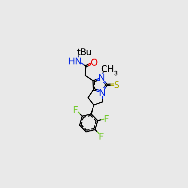 Cn1c(CC(=O)NC(C)(C)C)c2n(c1=S)C[C@@H](c1c(F)ccc(F)c1F)C2